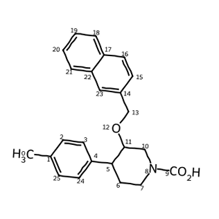 Cc1ccc(C2CCN(C(=O)O)CC2OCc2ccc3ccccc3c2)cc1